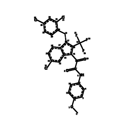 COc1ccc(NC(=O)C(=O)c2c(C(F)(F)F)n(Cc3ccc(Cl)cc3Cl)c3ccc(Cl)cc23)cc1